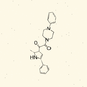 CC1NC(c2ccccc2)=CC1C(=O)C(=O)N1CCN(c2ccccc2)CC1